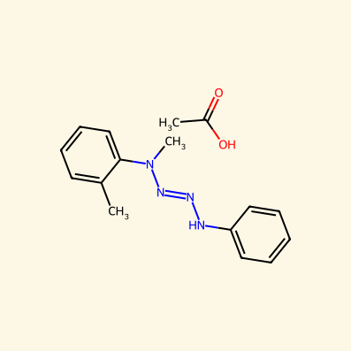 CC(=O)O.Cc1ccccc1N(C)N=NNc1ccccc1